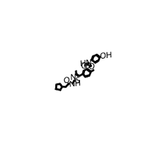 Cc1ccc(-c2sc(NC(=O)CC3CCCC3)nc2C)cc1S(=O)(=O)Nc1ccc(O)cc1